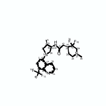 C[C@@H]1CN(c2ccc(C(F)(F)F)c3ncccc23)C[C@@H]1NC(=O)C[C@@H]1CCN(C)CC1(F)F